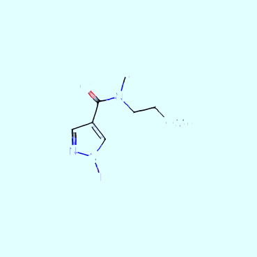 COCCN(C)C(=O)c1cnn(I)c1